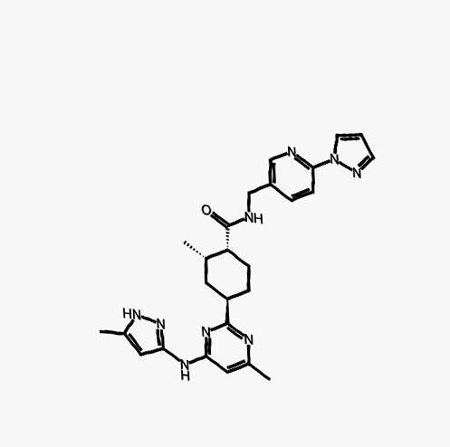 Cc1cc(Nc2cc(C)[nH]n2)nc([C@@H]2CC[C@@H](C(=O)NCc3ccc(-n4cccn4)nc3)[C@@H](C)C2)n1